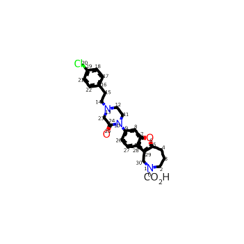 O=C(O)N1CCCc2oc3cc(N4CCN(CCc5ccc(Cl)cc5)CC4=O)ccc3c2C1